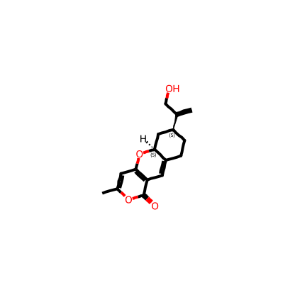 C=C(CO)[C@H]1CCC2=Cc3c(cc(C)oc3=O)O[C@H]2C1